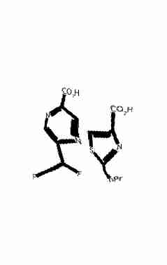 CCCc1nc(C(=O)O)cs1.O=C(O)c1cnc(C(F)F)cn1